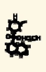 CC1CN(S(=O)(=O)c2cccc3cnccc23)CCN1.Cl.Cl